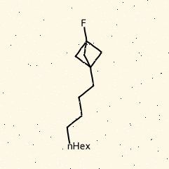 CCCCCCCCCCC12CC(F)(C1)C2